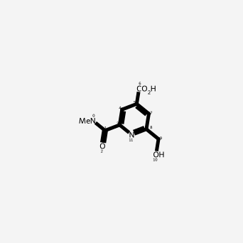 CNC(=O)c1cc(C(=O)O)cc(CO)n1